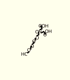 C#CCOCCOCCOCCOCCC(=O)N(CCC(=O)O)CCC(=O)O